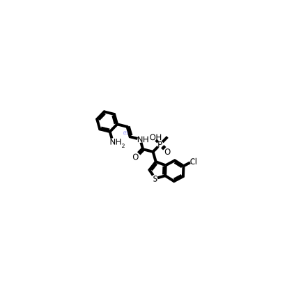 CP(=O)(O)C(C(=O)N/C=C/c1ccccc1N)c1csc2ccc(Cl)cc12